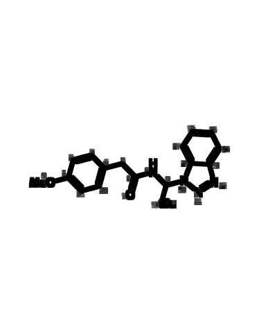 COc1ccc(CC(=O)NC(n2nnc3ccccc32)C(C)(C)C)cc1